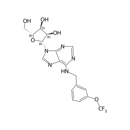 OC[C@H]1O[C@@H](n2cnc3c(NCc4cccc(OC(F)(F)F)c4)ncnc32)[C@H](O)[C@@H]1O